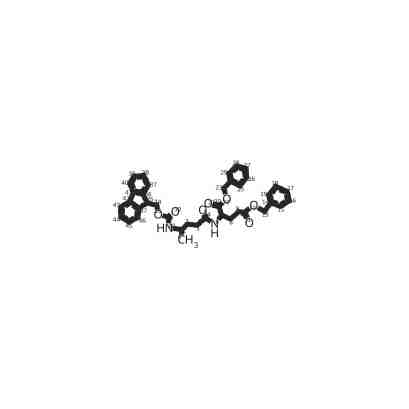 CC(CCC(=O)NC(CCC(=O)OCc1ccccc1)C(=O)OCc1ccccc1)NC(=O)OCC1c2ccccc2-c2ccccc21